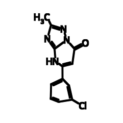 Cc1nc2[nH]c(-c3cccc(Cl)c3)cc(=O)n2n1